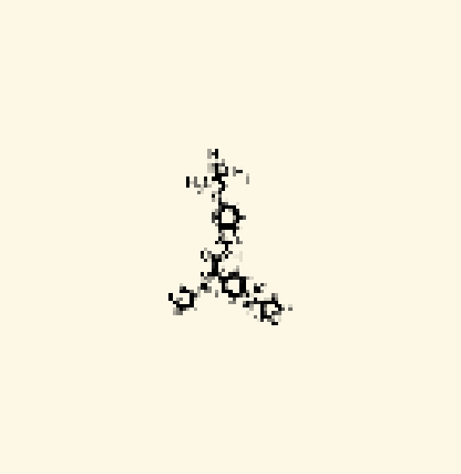 CC(C)(N)COc1ccc2nc(NC(=O)/C(=N/O[C@@H]3CCOC3)c3ccc(S(=O)(=O)[C@H]4CCOC4)cc3)sc2n1